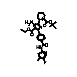 CCOC(=O)c1c(-c2ccc(C(=O)Nc3cc(C)c(F)cn3)cc2)nc(C2CCCCN2C(=O)OC(C)(C)C)n1N